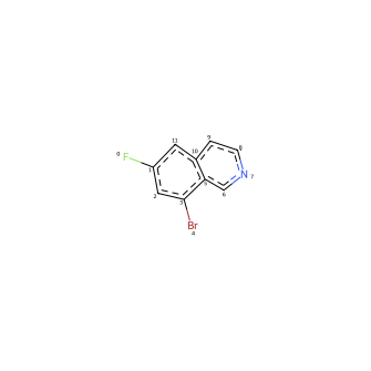 Fc1cc(Br)c2cn[c]cc2c1